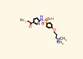 Br.CC(=O)SCC(=O)c1ccc(NS(=O)(=O)c2ccc(OCCCN(C)C)cc2)nc1